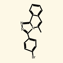 Cc1cc2ccccc2c2nnc(-c3ccc(Br)cc3)n12